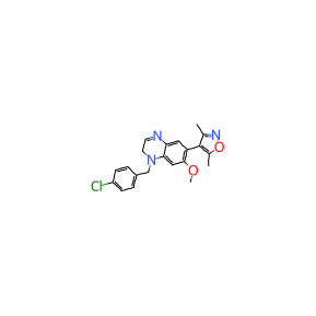 COc1cc2c(cc1-c1c(C)noc1C)N=CCN2Cc1ccc(Cl)cc1